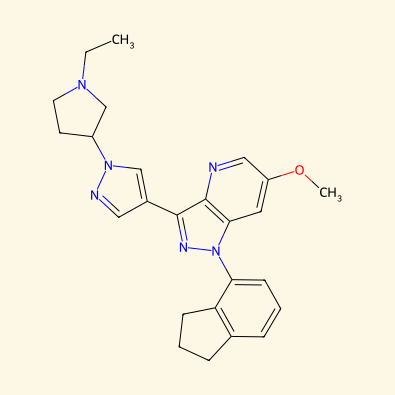 CCN1CCC(n2cc(-c3nn(-c4cccc5c4CCC5)c4cc(OC)cnc34)cn2)C1